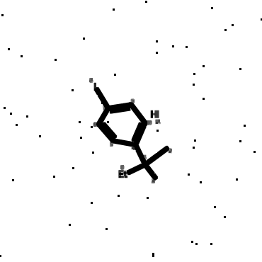 CCC(C)(C)c1ccc(I)cc1.I